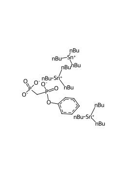 CCC[CH2][Sn+]([CH2]CCC)[CH2]CCC.CCC[CH2][Sn+]([CH2]CCC)[CH2]CCC.CCC[CH2][Sn+]([CH2]CCC)[CH2]CCC.O=P([O-])([O-])CP(=O)([O-])Oc1ccccc1